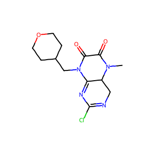 CN1C(=O)C(=O)N(CC2CCOCC2)C2=NC(Cl)=NCC21